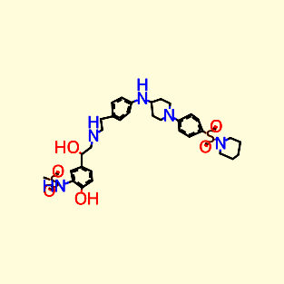 CS(=O)(=O)Nc1cc([C@@H](O)CNCCc2ccc(NC3CCN(c4ccc(S(=O)(=O)N5CCCCC5)cc4)CC3)cc2)ccc1O